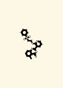 Cc1cccc2nc(-c3cccnc3SCCS(=O)(=O)c3ccccc3)oc(=O)c12